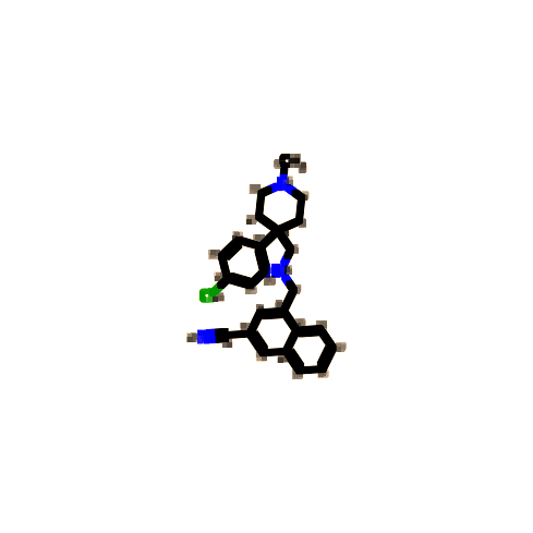 CN1CCC(CNCc2cc(C#N)cc3ccccc23)(c2ccc(Cl)cc2)CC1